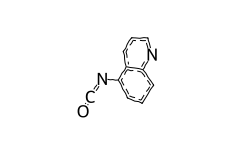 O=C=Nc1cccc2ncccc12